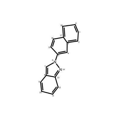 c1ccc2cc(-n3cc4ccccc4n3)ccc2c1